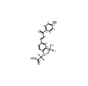 CC(C)(Oc1ccc(/C=C/C(=O)c2ccc(Br)cc2)cc1C(F)(F)F)C(=O)O